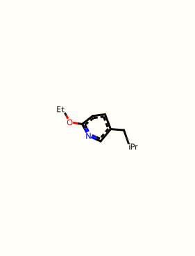 CCOc1ccc(CC(C)C)cn1